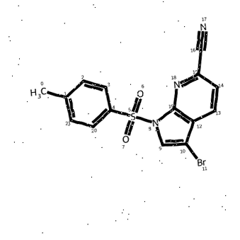 Cc1ccc(S(=O)(=O)n2cc(Br)c3ccc(C#N)nc32)cc1